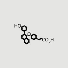 O=C(O)C=Cc1ccc(Oc2c(-c3cccc(O)c3)ccc3ccccc23)cc1